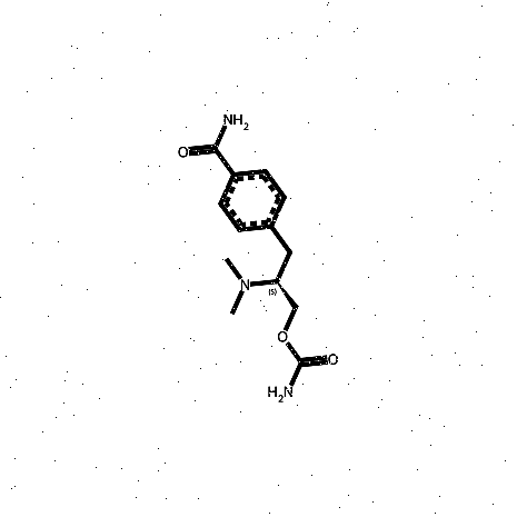 CN(C)[C@H](COC(N)=O)Cc1ccc(C(N)=O)cc1